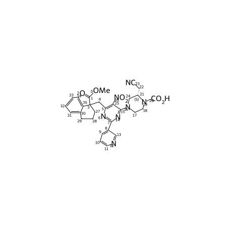 COC(=O)C1(Cc2nc(-c3cccnc3)nc(N3CCN(C(=O)O)[C@@H](CC#N)C3)c2[N+](=O)[O-])CCCc2ccccc21